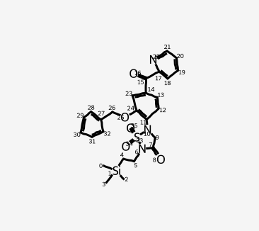 C[Si](C)(C)CCN1C(=O)CN(c2ccc(C(=O)c3ccccn3)cc2OCc2ccccc2)S1(=O)=O